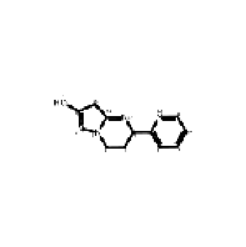 OC1=NN2CCC(c3ccccn3)N=C2C1